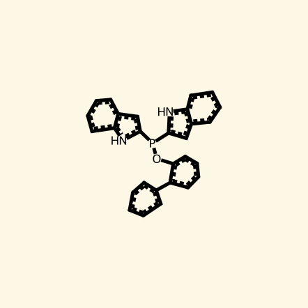 c1ccc(-c2ccccc2OP(c2cc3ccccc3[nH]2)c2cc3ccccc3[nH]2)cc1